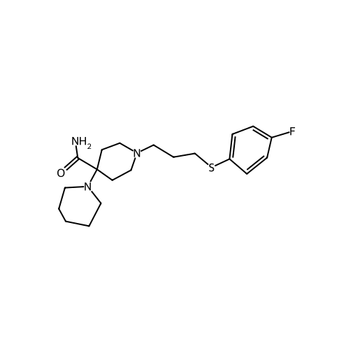 NC(=O)C1(N2CCCCC2)CCN(CCCSc2ccc(F)cc2)CC1